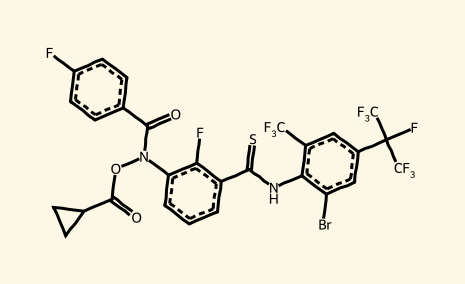 O=C(ON(C(=O)c1ccc(F)cc1)c1cccc(C(=S)Nc2c(Br)cc(C(F)(C(F)(F)F)C(F)(F)F)cc2C(F)(F)F)c1F)C1CC1